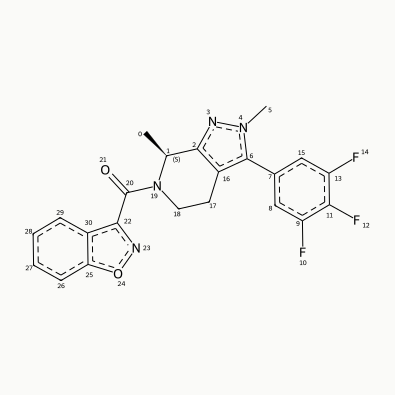 C[C@H]1c2nn(C)c(-c3cc(F)c(F)c(F)c3)c2CCN1C(=O)c1noc2ccccc12